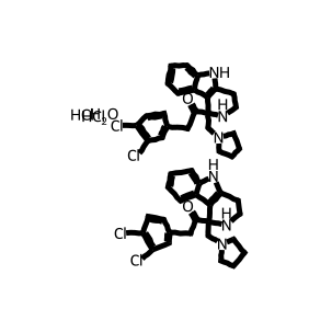 Cl.Cl.O.O=C(Cc1ccc(Cl)c(Cl)c1)C1(CN2CCCC2)NCCc2[nH]c3ccccc3c21.O=C(Cc1ccc(Cl)c(Cl)c1)C1(CN2CCCC2)NCCc2[nH]c3ccccc3c21